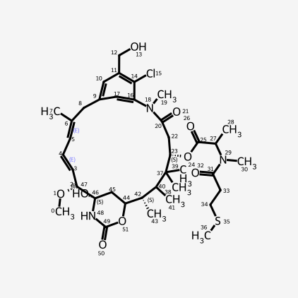 CO[C@@H]1/C=C/C=C(\C)Cc2cc(CO)c(Cl)c(c2)N(C)C(=O)C[C@H](OC(=O)C(C)N(C)C(=O)CCSC)C(C)(C)C(C)[C@H](C)C2C[C@@]1(O)NC(=O)O2